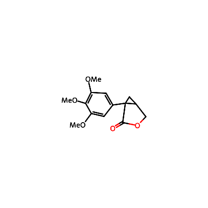 COc1cc(C23CC2COC3=O)cc(OC)c1OC